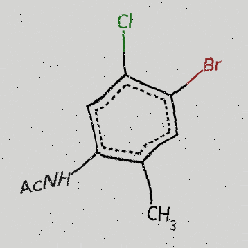 CC(=O)Nc1cc(Cl)c(Br)cc1C